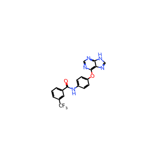 O=C(Nc1ccc(Oc2ncnc3[nH]cnc23)cc1)c1cccc(C(F)(F)F)c1